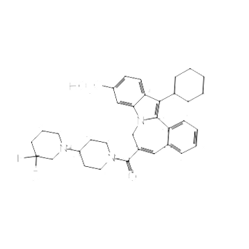 O=C(O)c1ccc2c(C3CCCCC3)c3n(c2c1)CC(C(=O)N1CCC(N2CCCC(F)(F)C2)CC1)=Cc1ccccc1-3